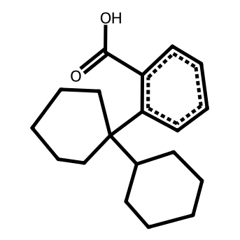 O=C(O)c1ccccc1C1(C2CCCCC2)CCCCC1